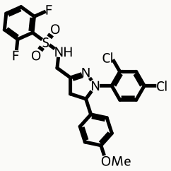 COc1ccc(C2CC(CNS(=O)(=O)c3c(F)cccc3F)=NN2c2ccc(Cl)cc2Cl)cc1